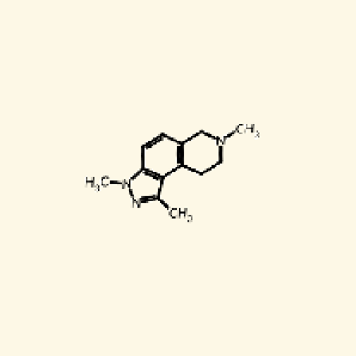 Cc1nn(C)c2ccc3c(c12)CCN(C)C3